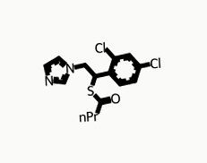 CCCC(=O)SC(Cn1ccnc1)c1ccc(Cl)cc1Cl